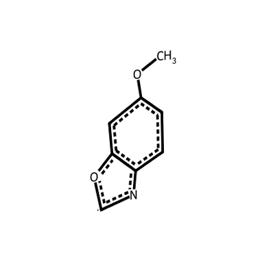 COc1ccc2n[c]oc2c1